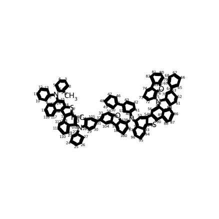 Cc1ccccc1N(c1ccccc1)c1cc2sc3cc(N(c4ccccc4)c4ccc(-c5ccc6oc7c(N(c8cccc(-c9ccccc9)c8)c8cc9c%10cc(N(c%11cccc(-c%12ccccc%12)c%11)c%11cccc%12c%11oc%11ccccc%11%12)c%11ccccc%11c%10sc9c9ccccc89)cccc7c6c5)cc4C)c4ccccc4c3c2c2ccccc12